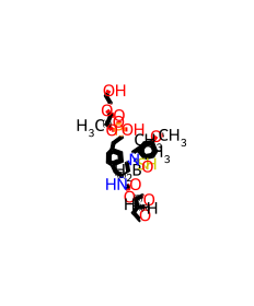 B[SH](=O)(c1ccc(OC)cc1)N(CC[C@H](Cc1ccc(CCP(=O)(O)O[C@@H](C)C(=O)OCCO)cc1)NC(=O)O[C@H]1CO[C@H]2OCC[C@H]21)CC(C)C